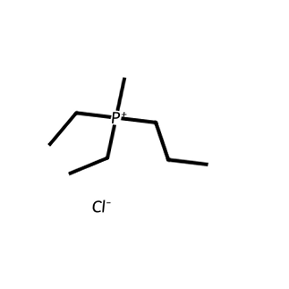 CCC[P+](C)(CC)CC.[Cl-]